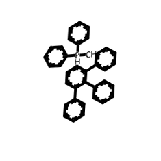 C[PH](c1ccccc1)(c1ccccc1)c1ccc(-c2ccccc2)c(-c2ccccc2)c1-c1ccccc1